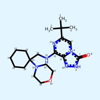 CC(C)(C)c1cn2c(=O)[nH]nc2c(NCC2(N3CCOCC3)CCCCC2)n1